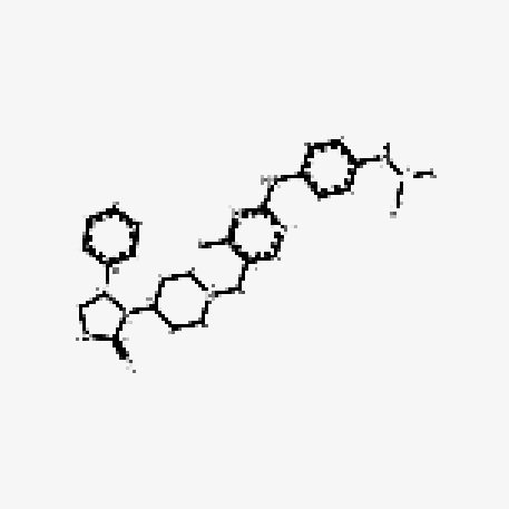 Cc1nc(Nc2ccc(N[S+](C)[O-])cc2)ncc1CN1CCC(N2C(=O)OC[C@H]2c2ccccc2)CC1